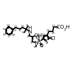 CN(CC(O)CNC(C)(C)CCCc1ccccc1)S(=O)(=O)c1cc(CCCC(=O)O)c(Cl)s1